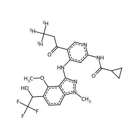 [2H]C([2H])([2H])CC(=O)c1cnc(NC(=O)C2CC2)cc1Nc1nn(C)c2ccc(C(O)C(F)(F)F)c(OC)c12